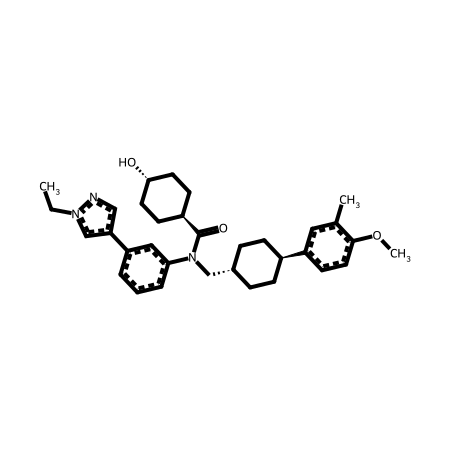 CCn1cc(-c2cccc(N(C[C@H]3CC[C@H](c4ccc(OC)c(C)c4)CC3)C(=O)[C@H]3CC[C@H](O)CC3)c2)cn1